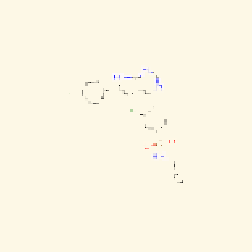 O=S(=O)(NCC1CC1)c1ccc(-c2ncnc3[nH]c(-c4ccc(F)cc4)cc23)c(F)c1